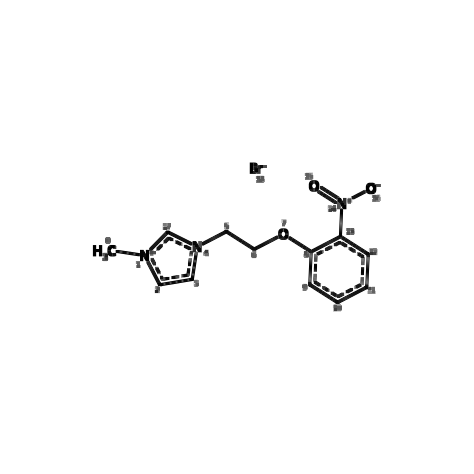 C[n+]1ccn(CCOc2ccccc2[N+](=O)[O-])c1.[Br-]